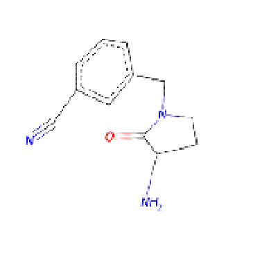 N#Cc1cccc(CN2CCC(N)C2=O)c1